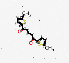 Cc1ccc(C(=O)CCCC(=O)c2ccc(C)s2)s1